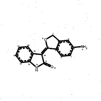 Nc1ccc2c(c1)CO/C2=C1/C(=O)Nc2ccccc21